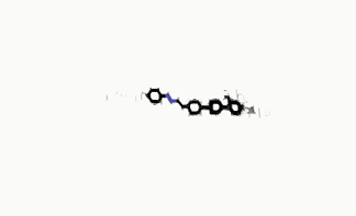 CCCCCC1CCC(/C=C/CCC2CCC(c3ccc(-c4ccc(OCCCC)c(F)c4F)cc3)CC2)CC1